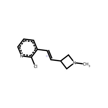 CN1CC(/C=C/c2cccnc2Cl)C1